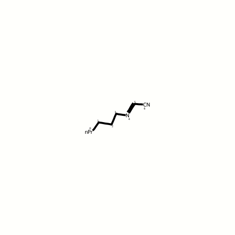 CCCCCCN=CC#N